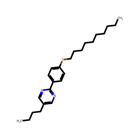 CCCCCCCCCCSc1ccc(-c2ncc(CCCC)cn2)cc1